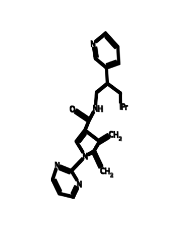 C=c1c(C(=O)NCC(CC(C)C)c2cccnc2)cn(-c2ncccn2)c1=C